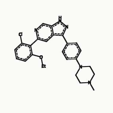 CCOc1cccc(Cl)c1-c1cc2c(-c3ccc(N4CCN(C)CC4)cc3)n[nH]c2cn1